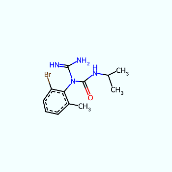 Cc1cccc(Br)c1N(C(=N)N)C(=O)NC(C)C